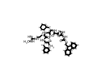 CNC(=N)NCCC[C@H](NC(=O)[C@H](CC1CCCCC1)NC(=O)c1n[nH]c(NC(=O)OCC2c3ccccc3-c3ccccc32)n1)C(=O)N[C@@H](Cc1ccccc1)C(C)=O